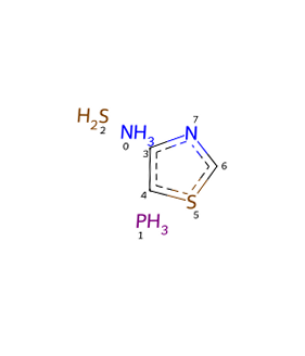 N.P.S.c1cscn1